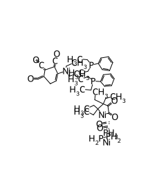 CCP(CC)c1ccccc1.CCP(CC)c1ccccc1.CC[C]1(CC)[Ni][C](=O)C(=O)C1(CC)CC.C[CH2][Ni]([CH2]C)[C]1=CCC(=C=O)C(=C=O)C1=C=O.P.PP.[C]=O.[C]=O.[Ni]